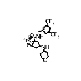 CC(C)S(=O)(=O)C1(C(=O)NCc2cc(C(F)(F)F)cc(C(F)(F)F)c2)CCC(NC2CCOCC2)C1